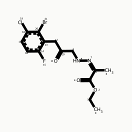 CCOC(=O)/C(C)=N\NCC(=O)Cc1c(F)ccc(Cl)c1Br